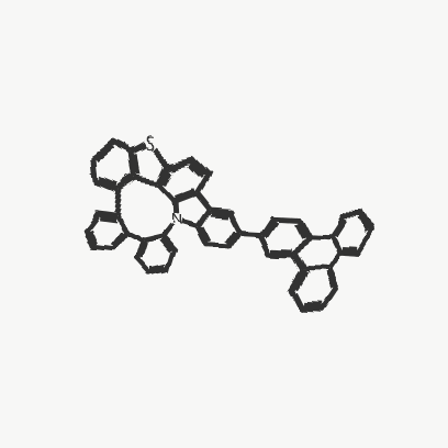 c1ccc2c(c1)c1ccccc1c1cc(-c3ccc4c(c3)c3ccc5sc6cccc7c8ccccc8c8ccccc8n4c3c5c67)ccc21